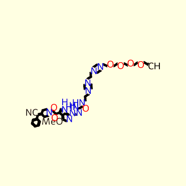 C#CCOCCOCCOCCOCCN1CCN(CCCN2CCN(CCCNC(=O)C(=N)/N=C\Nc3ncc(OC)c4c(C(=O)C(=O)N5CCC(=C(C#N)c6ccccc6)CC5)c[nH]c34)CC2)CC1